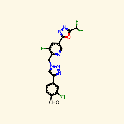 O=Cc1ccc(-c2cn(Cc3ncc(-c4nnc(C(F)F)o4)cc3F)nn2)cc1Cl